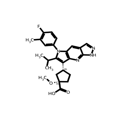 CO[C@@]1(C(=O)O)CC[C@@H](c2c(C(C)C)n(-c3ccc(F)c(C)c3)c3cc4cn[nH]c4nc23)C1